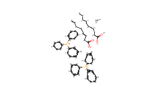 CCCCCCCC(=O)[O-].CCCCCCCC(=O)[O-].[Ni+2].c1ccc(P(c2ccccc2)c2ccccc2)cc1.c1ccc(P(c2ccccc2)c2ccccc2)cc1